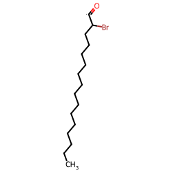 CCCCCCCCCCCCCCC(Br)[C]=O